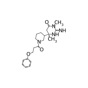 CN1C(=N)N[C@](C)(C2CCCN(C(=O)CCOc3ccccc3)C2)CC1=O